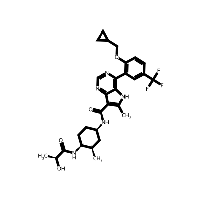 Cc1[nH]c2c(-c3cc(C(F)(F)F)ccc3OCC3CC3)ncnc2c1C(=O)N[C@@H]1CC[C@H](NC(=O)[C@H](C)O)[C@H](C)C1